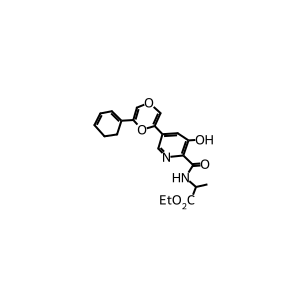 CCOC(=O)C(C)NC(=O)c1ncc(C2=COC=C(C3=CC=CCC3)O2)cc1O